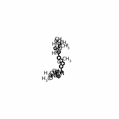 COC(=O)N[C@H](C(=O)N1CCC[C@H]1c1ncc(-c2ccc3c(c2)C(C)c2ccc4cc(-c5cnc([C@@H]6CCCN6C(=O)[C@@H](NC(=O)OC)C(C)C)[nH]5)ccc4c2O3)[nH]1)C(C)C